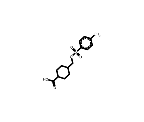 Cc1ccc(S(=O)(=O)OCC2CCC(C(=O)O)CC2)cc1